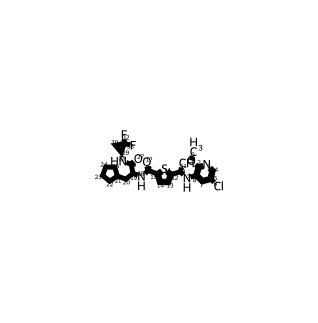 COc1ncc(Cl)cc1NC(C)c1ccc(C(=O)NC(CC2CCCC2)C(=O)N[C@H]2CC2(F)F)s1